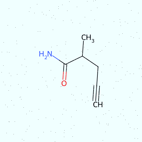 C#CCC(C)C(N)=O